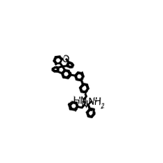 NC(c1ccccc1)N(Cc1ccccc1)NCc1ccc(-c2cccc(-c3ccc4c(c3)C3(c5ccccc5Oc5ccccc53)c3ccccc3-4)c2)cc1